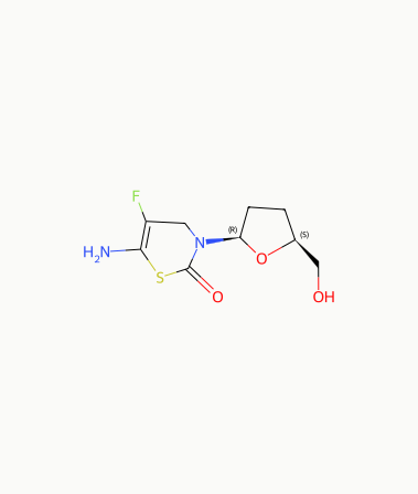 NC1=C(F)CN([C@H]2CC[C@@H](CO)O2)C(=O)S1